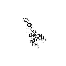 Cc1cc([C@H](C(=O)N2CCC[C@H]2C(=O)NCc2ccc(-c3cncs3)cc2)C(C)(C)C)on1